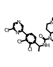 CC(NC(=O)N(C)C1CCN(C)CC1)c1ccc(-c2cncc(Cl)n2)c(Cl)c1Cl